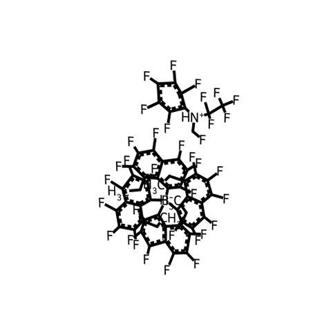 CCc1c(F)c(F)c(F)c2c(F)c(F)c(F)c([B-](c3c(F)c(F)c(F)c4c(F)c(F)c(F)c(CC)c34)(c3c(F)c(F)c(F)c4c(F)c(F)c(F)c(CC)c34)c3c(F)c(F)c(F)c4c(F)c(F)c(F)c(CC)c34)c12.FC[NH+](c1c(F)c(F)c(F)c(F)c1F)C(F)(F)C(F)(F)F